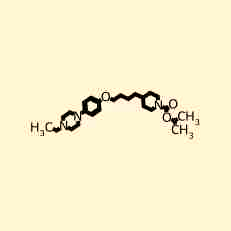 CCN1CCN(c2ccc(OCCCCC3CCN(C(=O)OC(C)C)CC3)cc2)CC1